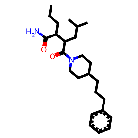 CCCC(C(N)=O)C(CC(C)C)C(=O)N1CCC(CCCc2ccccc2)CC1